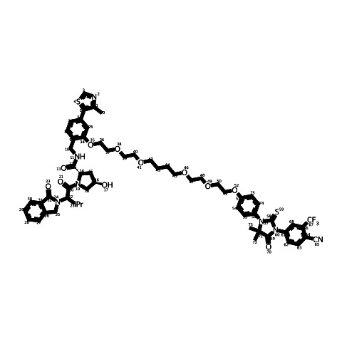 Cc1ncsc1-c1ccc(CNC(=O)[C@@H]2C[C@@H](O)CN2C(=O)C(C(C)C)N2Cc3ccccc3C2=O)c(OCCOCCOCCCCOCCOCCOc2ccc(N3C(=S)N(c4ccc(C#N)c(C(F)(F)F)c4)C(=O)C3(C)C)cc2)c1